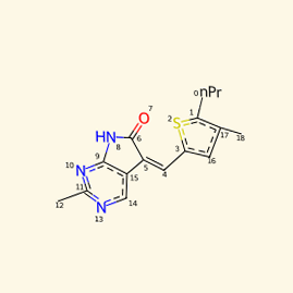 CCCc1sc(C=C2C(=O)Nc3nc(C)ncc32)cc1C